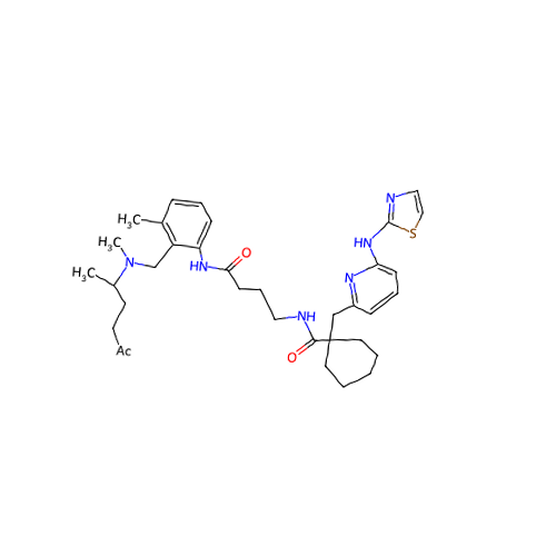 CC(=O)CCC(C)N(C)Cc1c(C)cccc1NC(=O)CCCNC(=O)C1(Cc2cccc(Nc3nccs3)n2)CCCCC1